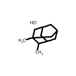 CC1C2CC3CC(C2)CC1(C)C3.Cl